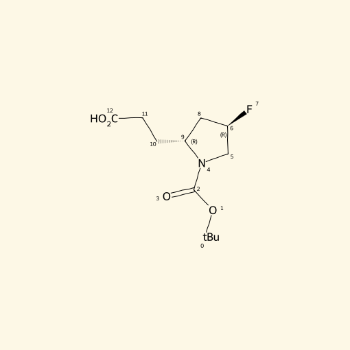 CC(C)(C)OC(=O)N1C[C@H](F)C[C@H]1CCC(=O)O